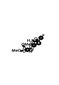 COCCOc1cc2ncnc(Oc3ccc(C4CCCn5c4c(C(N)=O)c(=O)n5-c4ccc(F)cc4)cc3C)c2cc1OCCOC